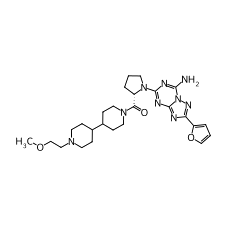 COCCN1CCC(C2CCN(C(=O)[C@@H]3CCCN3c3nc(N)n4nc(-c5ccco5)nc4n3)CC2)CC1